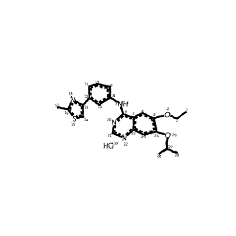 CCOc1cc2c(Nc3cccc(-c4csc(C)n4)c3)ncnc2cc1OC(C)C.Cl